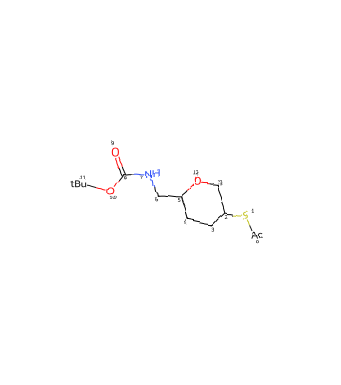 CC(=O)SC1CCC(CNC(=O)OC(C)(C)C)OC1